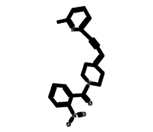 Cc1cccc(C#CC=C2CCN(C(=O)c3ccccc3[N+](=O)[O-])CC2)n1